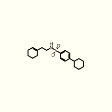 O=S(=O)(NCCC1=CCCCC1)c1ccc(C2CCCCC2)cc1